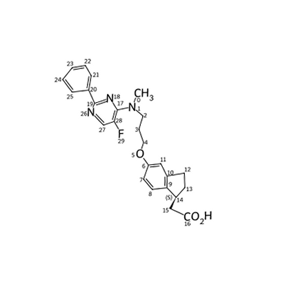 CN(CCCOc1ccc2c(c1)CC[C@H]2CC(=O)O)c1nc(-c2ccccc2)ncc1F